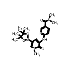 CN(C)C(=O)c1ccc(Nc2cc(B3OC(C)(C)C(C)(C)O3)cn(C)c2=O)nc1